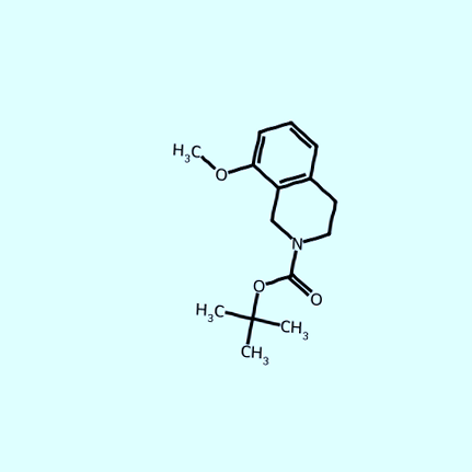 COc1cccc2c1CN(C(=O)OC(C)(C)C)CC2